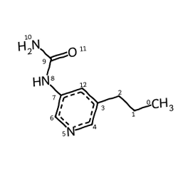 CCCc1cncc(NC(N)=O)c1